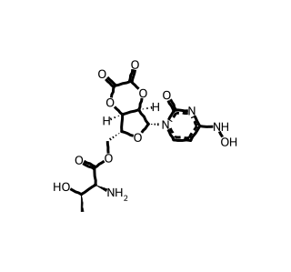 C[C@@H](O)[C@H](N)C(=O)OC[C@H]1O[C@@H](n2ccc(NO)nc2=O)[C@@H]2OC(=O)C(=O)O[C@@H]21